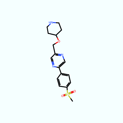 CS(=O)(=O)c1ccc(-c2cnc(COC3CCNCC3)cn2)cc1